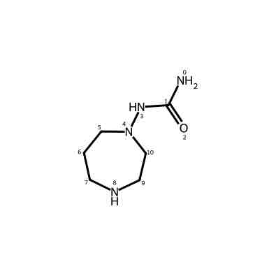 NC(=O)NN1CCCNCC1